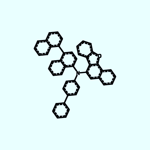 c1ccc(-c2ccc(N(c3ccc(-c4cccc5ccccc45)c4ccccc34)c3cc4ccccc4c4oc5ccccc5c34)cc2)cc1